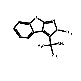 Cn1nc2sc3ccccc3c2c1C(C)(C)C